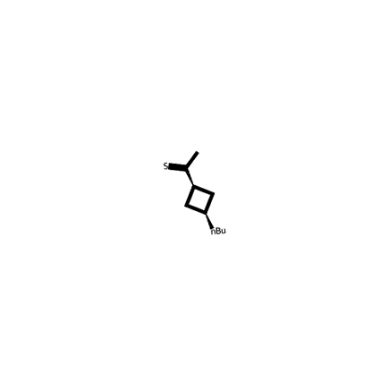 CCCC[C@H]1C[C@@H](C(C)=S)C1